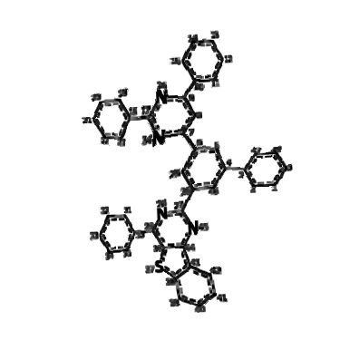 c1ccc(-c2cc(-c3cc(-c4ccccc4)nc(-c4ccccc4)n3)cc(-c3nc(-c4ccccc4)c4sc5ccccc5c4n3)c2)cc1